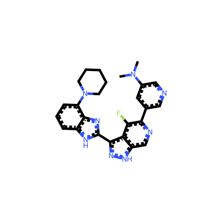 CN(C)c1cncc(-c2ncc3[nH]nc(-c4nc5c(N6CCCCC6)cccc5[nH]4)c3c2F)c1